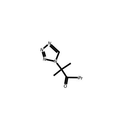 CC(C)C(=O)C(C)(C)n1cnnn1